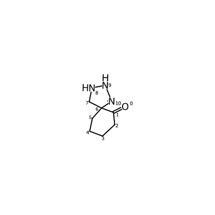 O=C1CCCCC12CNN[N]2